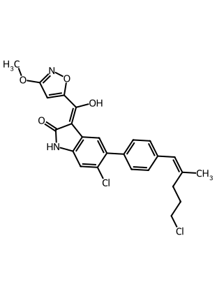 COc1cc(C(O)=C2C(=O)Nc3cc(Cl)c(-c4ccc(C=C(C)CCCCl)cc4)cc32)on1